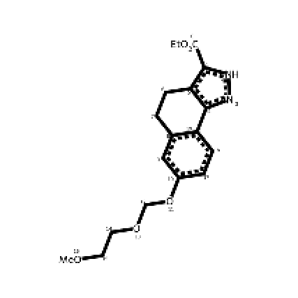 CCOC(=O)c1[nH]nc2c1CCc1cc(OCOCCOC)ccc1-2